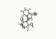 COc1c(C)nn(C)c(=O)c1-n1cc(Br)c2ccccc21